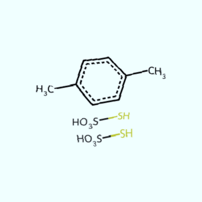 Cc1ccc(C)cc1.O=S(=O)(O)S.O=S(=O)(O)S